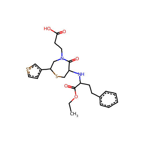 CCOC(=O)C(CCc1ccccc1)NC1CSC(c2ccsc2)CN(CCC(=O)O)C1=O